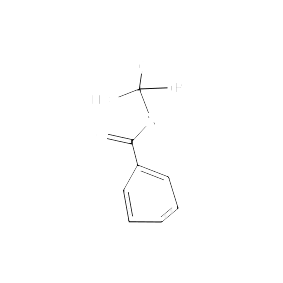 CC(C)(C)C(C)(C)NC(=O)c1ccccc1